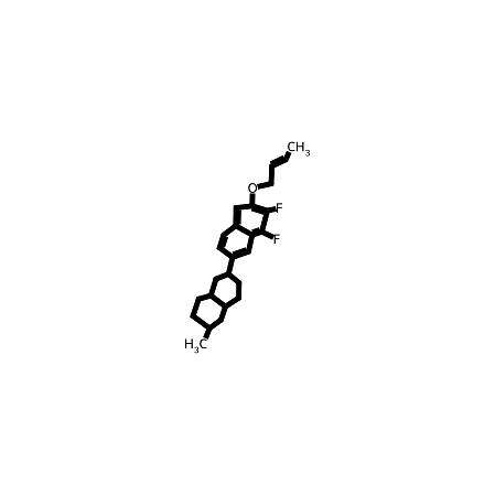 C/C=C/COc1cc2ccc(C3CCC4CC(C)CCC4C3)cc2c(F)c1F